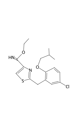 CCOC(=N)c1csc(Cc2cc(Cl)ccc2OCC(C)C)n1